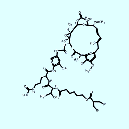 COc1cc2cc(c1Cl)N(C)C(=O)C[C@H](OC(=O)Nc1ccc(NC(=O)[C@H](CCCNC(N)=O)NC(=O)[C@@H](NC(=O)CCCCCOC(=O)C(CBr)CBr)C(C)C)c(C)c1)[C@]1(C)O[C@H]1[C@H](C)[C@@H]1C[C@@](O)(NC(=O)O1)[C@H](OC)/C=C/C=C(\C)C2